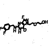 O=c1[nH]c(NCc2ccc(F)c(F)c2)nc2c(F)nn(CCOCCO)c12